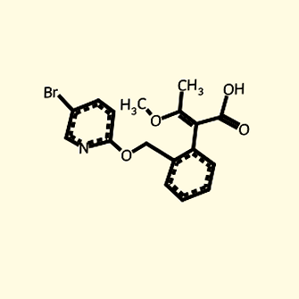 CO/C(C)=C(/C(=O)O)c1ccccc1COc1ccc(Br)cn1